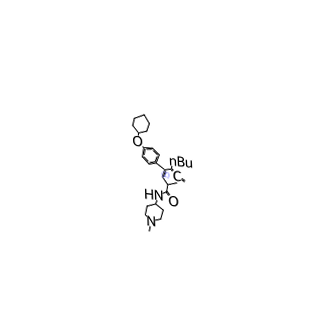 C=C=C(CCCC)/C(=C\C(C)C(=O)NC1CCN(C)CC1)c1ccc(OC2CCCCC2)cc1